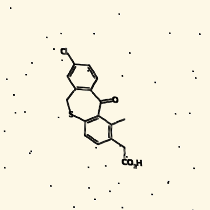 Cc1c(CC(=O)O)ccc2c1C(=O)c1ccc(Cl)cc1CS2